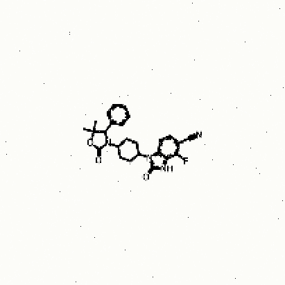 CC1(C)OC(=O)N(C2CCC(n3c(=O)[nH]c4c(F)c(C#N)ccc43)CC2)C1c1ccccc1